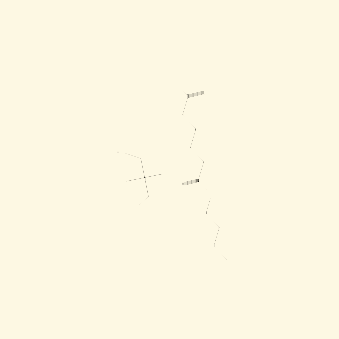 CC(C)(CO)CO.CCCCOC(=O)CCCCC(=O)O